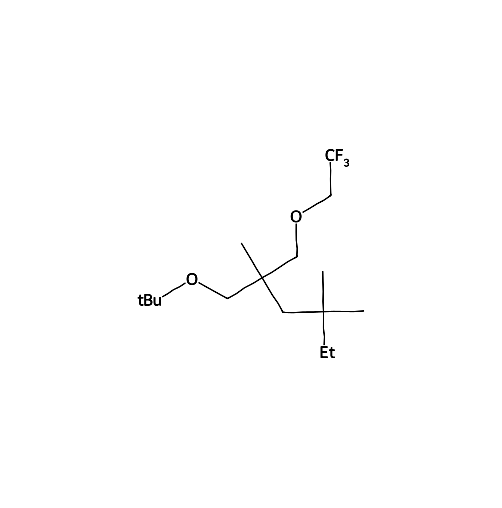 CCC(C)(C)CC(C)(COCC(F)(F)F)COC(C)(C)C